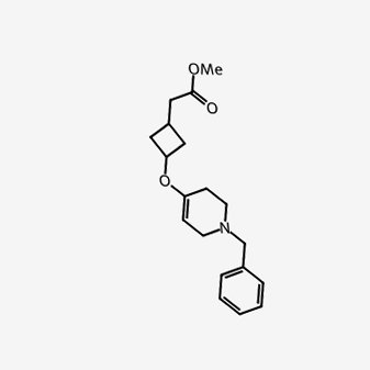 COC(=O)CC1CC(OC2=CCN(Cc3ccccc3)CC2)C1